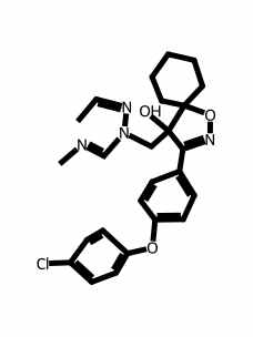 C/C=N\N(/C=N/C)CC1(O)C(c2ccc(Oc3ccc(Cl)cc3)cc2)=NOC12CCCCC2